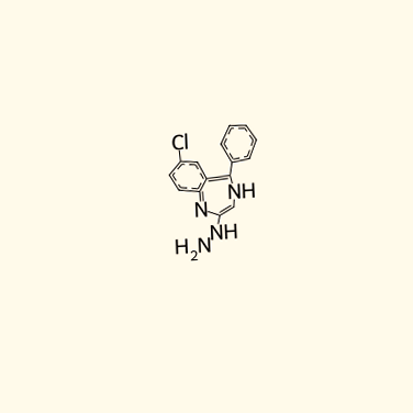 NNC1=CNC(c2ccccc2)=c2cc(Cl)ccc2=N1